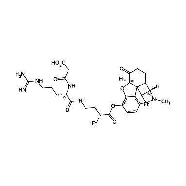 CCc1ccc(OC(=O)N(CC)CCNC(=O)[C@H](CCCNC(=N)N)NC(=O)CC(=O)O)c2c1C13C(CCC(=O)[C@@H]1O2)[C@H]1C3CN1C